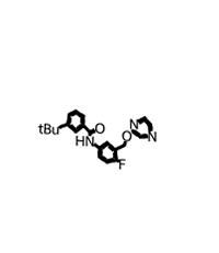 CC(C)(C)c1cccc(C(=O)Nc2ccc(F)c(COc3cnccn3)c2)c1